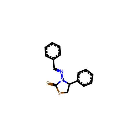 S=C1SCC(c2ccccc2)N1N=Cc1ccccc1